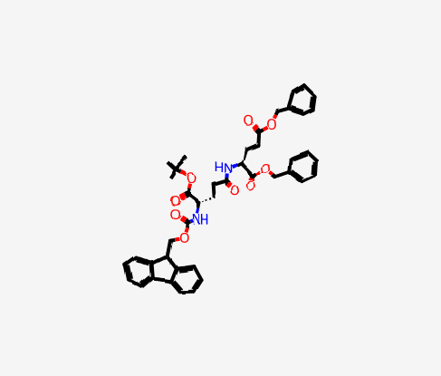 CC(C)(C)OC(=O)[C@H](CCC(=O)N[C@@H](CCC(=O)OCc1ccccc1)C(=O)OCc1ccccc1)NC(=O)OCC1c2ccccc2-c2ccccc21